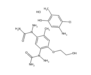 Cc1cc(Cl)c(N)cc1O.Cc1cc(OCCO)c(N(N)C(N)=O)cc1N(N)C(N)=O.Cl